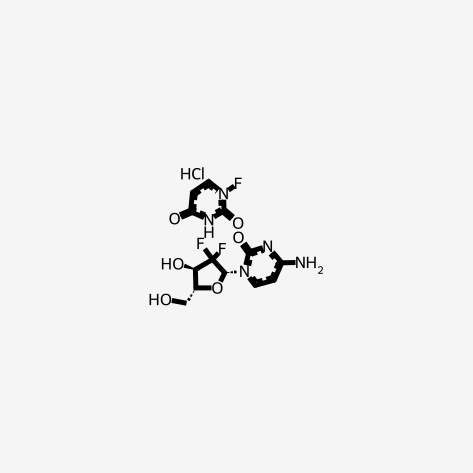 Cl.Nc1ccn([C@@H]2O[C@H](CO)[C@@H](O)C2(F)F)c(=O)n1.O=c1ccn(F)c(=O)[nH]1